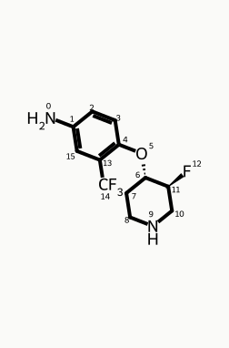 Nc1ccc(O[C@H]2CCNC[C@@H]2F)c(C(F)(F)F)c1